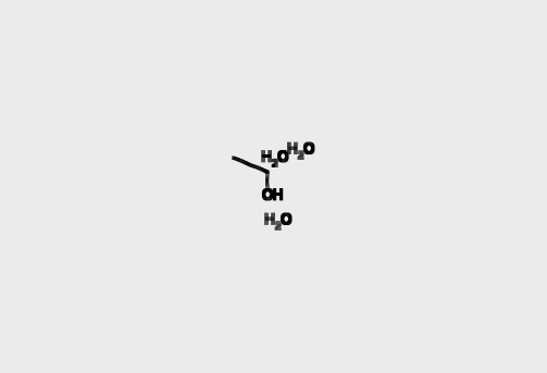 CCO.O.O.O